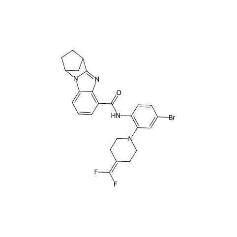 O=C(Nc1ccc(Br)cc1N1CCC(=C(F)F)CC1)c1cccc2c1nc1n2C2CCC1C2